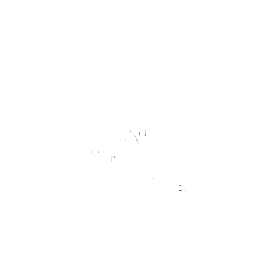 Cc1cc(C)cc(S(=O)(=O)N[C@@H](c2ccccc2)[C@@H](N)c2ccccc2)c1.Cc1ccc(C)c(C)c1C.[Ru]